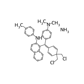 Cc1ccc(Nc2ccc3ccccc3c2C(=C2C=CC(CCl)(CCl)C=C2)c2ccc(N(C)C)cc2)cc1.N